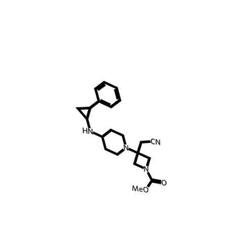 COC(=O)N1CC(CC#N)(N2CCC(NC3CC3c3ccccc3)CC2)C1